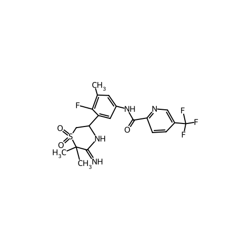 Cc1cc(NC(=O)c2ccc(C(F)(F)F)cn2)cc(C2CS(=O)(=O)C(C)(C)C(=N)N2)c1F